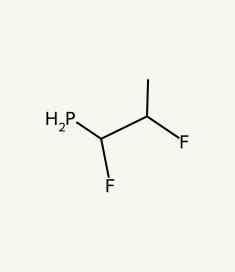 CC(F)C(F)P